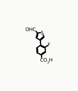 O=Cc1cc(-c2ccc(C(=O)O)cc2F)cs1